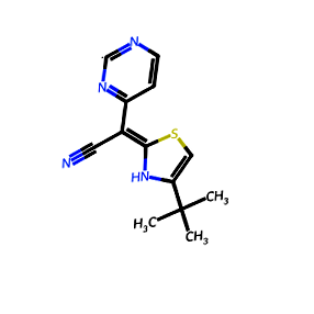 CC(C)(C)C1=CSC(=C(C#N)c2ccn[c]n2)N1